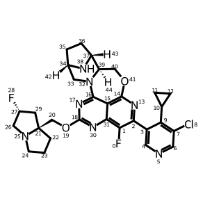 Fc1c(-c2cncc(Cl)c2C2CC2)nc2c3c(nc(OC[C@@]45CCCN4C[C@H](F)C5)nc13)N1C[C@@H]3CC[C@@H](N3)[C@H]1CO2